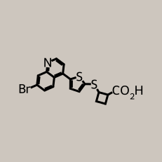 O=C(O)C1CCC1Sc1ccc(-c2ccnc3cc(Br)ccc23)s1